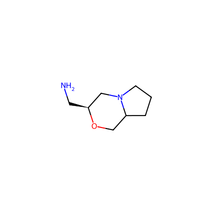 NC[C@H]1CN2CCCC2CO1